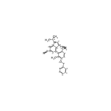 Cc1ccc(OCc2ccccc2)c(C)c1-c1cc(C#N)nc2c1c(C#N)cn2C(C)C